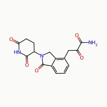 NC(=O)C(=O)Cc1cccc2c1CN(C1CCC(=O)NC1=O)C2=O